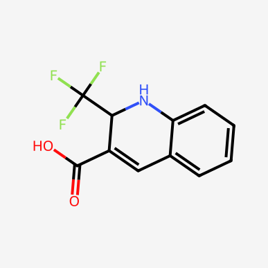 O=C(O)C1=Cc2ccccc2NC1C(F)(F)F